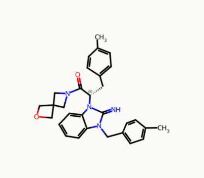 Cc1ccc(C[C@@H](C(=O)N2CC3(COC3)C2)n2c(=N)n(Cc3ccc(C)cc3)c3ccccc32)cc1